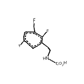 O=C(O)NCc1cc(F)cc(F)c1F